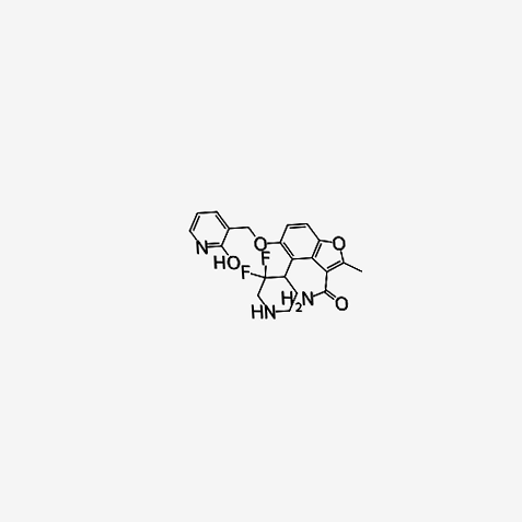 Cc1oc2ccc(OCc3cccnc3O)c(C3CCNCC3(F)F)c2c1C(N)=O